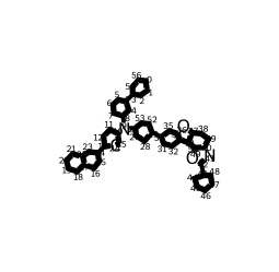 c1ccc(-c2cccc(N(c3ccc(-c4ccc5ccccc5c4)cc3)c3ccc(-c4ccc5c(c4)oc4ccc6nc(-c7ccccc7)oc6c45)cc3)c2)cc1